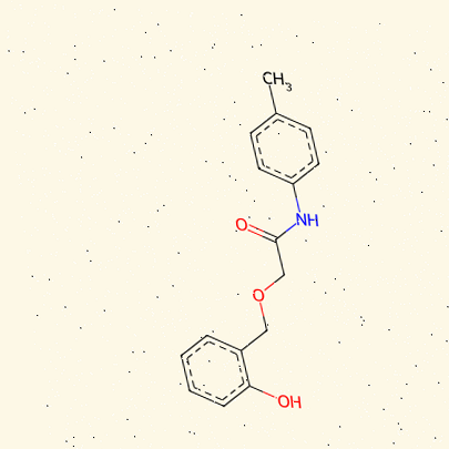 Cc1ccc(NC(=O)COCc2ccccc2O)cc1